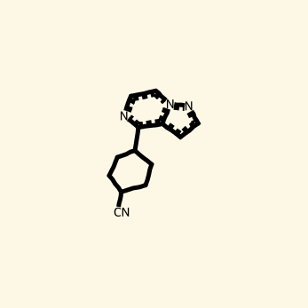 N#CC1CCC(c2nccn3nccc23)CC1